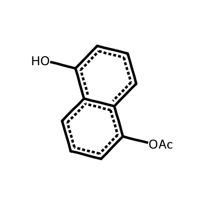 CC(=O)Oc1cccc2c(O)cccc12